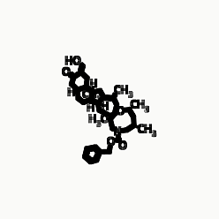 CC1=C2C[C@H]3[C@@H](CC[C@@H]4CC(=O)/C(=C\O)C[C@@]43C)[C@@H]2CC[C@@]2(C1)O[C@@H](C)C[C@H](C)CN(C(=O)OCc1ccccc1)C[C@H]2C